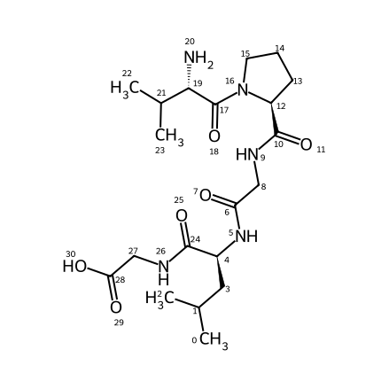 CC(C)C[C@H](NC(=O)CNC(=O)[C@@H]1CCCN1C(=O)[C@@H](N)C(C)C)C(=O)NCC(=O)O